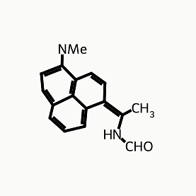 CNc1ccc2cccc3c(=C(C)NC=O)ccc1c23